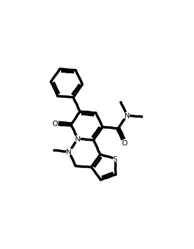 CN(C)C(=O)c1cc(-c2ccccc2)c(=O)n2c1-c1sccc1CN2C